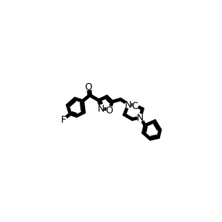 O=C(c1ccc(F)cc1)c1cc(CN2CCN(c3ccccc3)CC2)on1